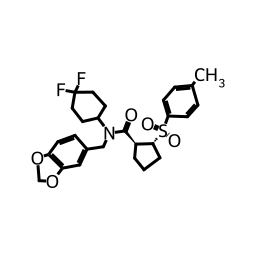 Cc1ccc(S(=O)(=O)[C@@H]2CCC[C@H]2C(=O)N(Cc2ccc3c(c2)OCO3)C2CCC(F)(F)CC2)cc1